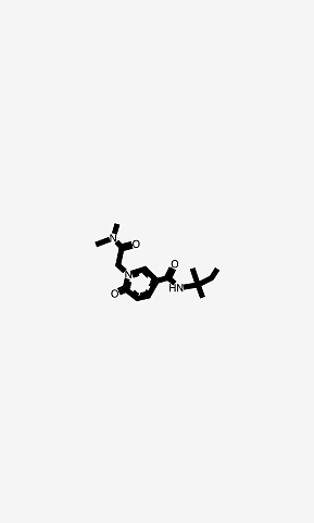 CCC(C)(C)NC(=O)c1ccc(=O)n(CC(=O)N(C)C)c1